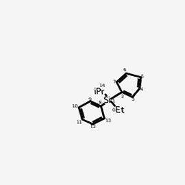 [CH2]C[Si](c1ccccc1)(c1ccccc1)C(C)C